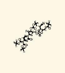 CC(C)(C)OC(=O)O[C@H]1[C@H](F)[C@H](n2ccc(N(C(=O)OC(C)(C)C)C(=O)OC(C)(C)C)nc2=O)S[C@@H]1COP(=O)(OCCC#N)OCCSC(=O)C(C)(C)C